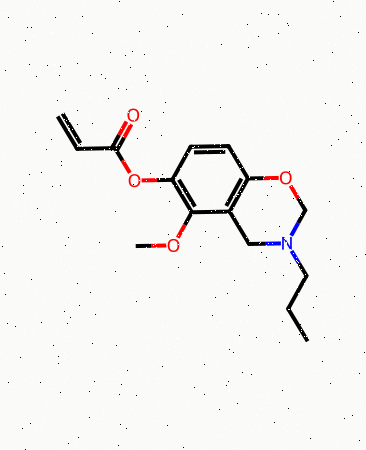 C=CC(=O)Oc1ccc2c(c1OC)CN(CCC)CO2